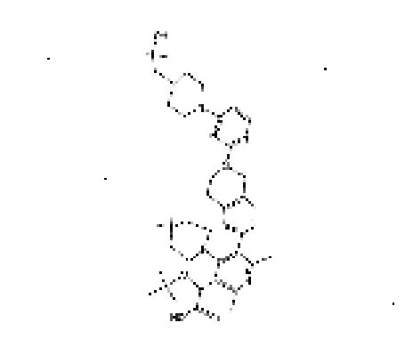 Cc1nc(C)c(C(OC(C)(C)C)C(=O)O)c(N2CCC(C)(C)CC2)c1-c1ccc2c(c1)CCN(c1nccc(N3CCC(CC(C)(C)O)CC3)n1)C2